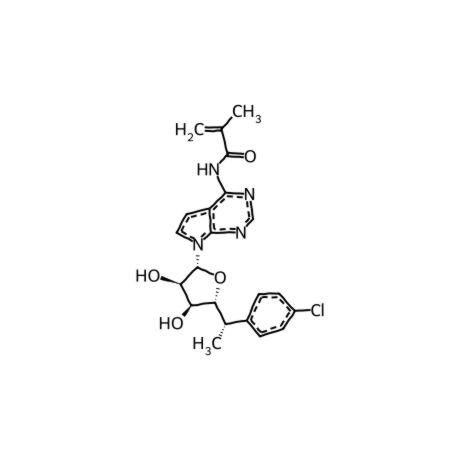 C=C(C)C(=O)Nc1ncnc2c1ccn2[C@@H]1O[C@H]([C@@H](C)c2ccc(Cl)cc2)[C@@H](O)[C@H]1O